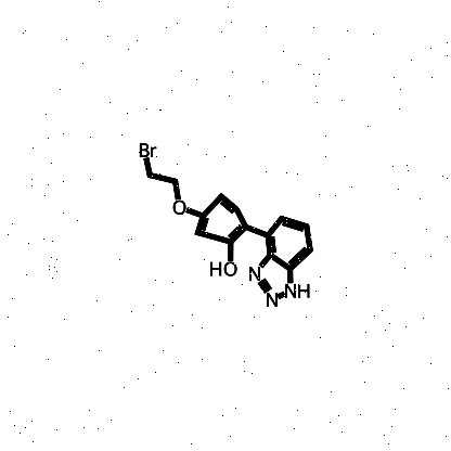 Oc1cc(OCCBr)ccc1-c1cccc2[nH]nnc12